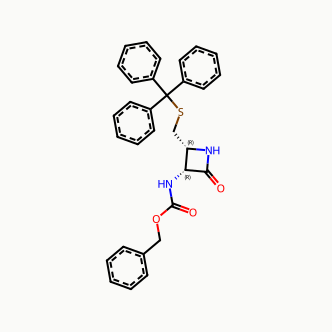 O=C(N[C@H]1C(=O)N[C@H]1CSC(c1ccccc1)(c1ccccc1)c1ccccc1)OCc1ccccc1